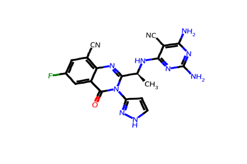 C[C@H](Nc1nc(N)nc(N)c1C#N)c1nc2c(C#N)cc(F)cc2c(=O)n1-c1cc[nH]n1